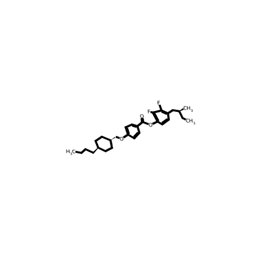 CCCC[C@H]1CC[C@H](COc2ccc(C(=O)Oc3ccc(C[C@@H](C)CC)c(F)c3F)cc2)CC1